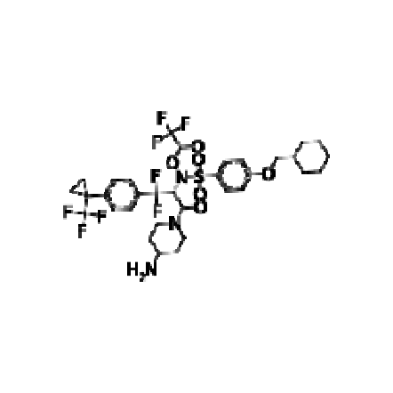 NC1CCN(C(=O)[C@@H](N(OC(=O)C(F)(F)F)S(=O)(=O)c2ccc(OCC3CCCCC3)cc2)C(F)(F)c2ccc(C3(C(F)(F)F)CC3)cc2)CC1